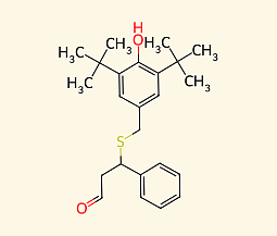 CC(C)(C)c1cc(CSC(CC=O)c2ccccc2)cc(C(C)(C)C)c1O